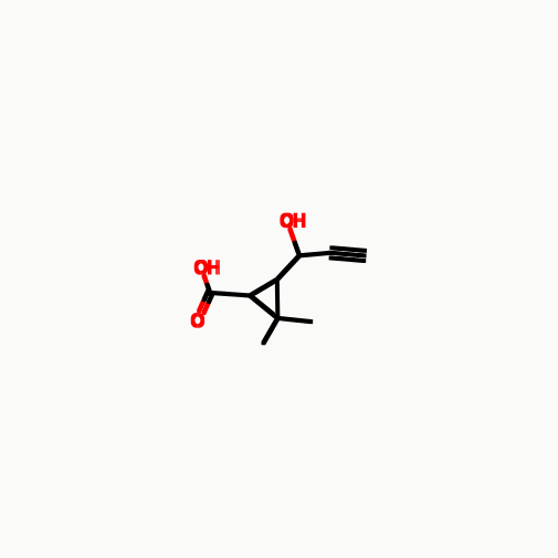 C#CC(O)C1C(C(=O)O)C1(C)C